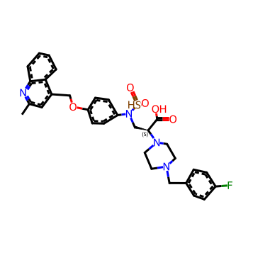 Cc1cc(COc2ccc(N(C[C@@H](C(=O)O)N3CCN(Cc4ccc(F)cc4)CC3)[SH](=O)=O)cc2)c2ccccc2n1